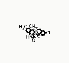 Cc1ccc(F)c([C@H](C)[C@@H](c2n[nH]c(=O)o2)N2CCc3cc(Cl)ccc3S2(=O)=O)c1C